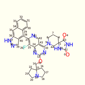 O=C1NC(=O)C2(CCCN(c3nc(OCC45CCCN4CCC5)nc4c(F)c(-c5c6ccccc6cc6[nH]ncc56)ncc34)C2)N1